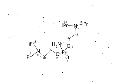 CC(C)N(CCOP(N)(=O)OCCN(C(C)C)C(C)C)C(C)C